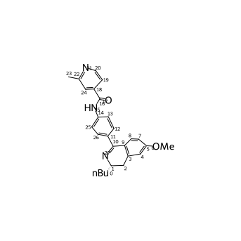 CCCC[C@H]1Cc2cc(OC)ccc2C(c2ccc(NC(=O)c3ccnc(C)c3)cc2)=N1